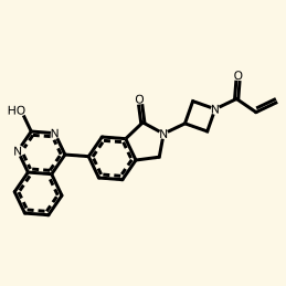 C=CC(=O)N1CC(N2Cc3ccc(-c4nc(O)nc5ccccc45)cc3C2=O)C1